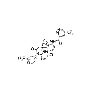 C[C@@H]1C[C@H](N2C(=N)N[C@](C)(c3cccc(NC(=O)c4cc(C(F)(F)F)cnn4)c3Cl)CC2=O)CCO1.Cl